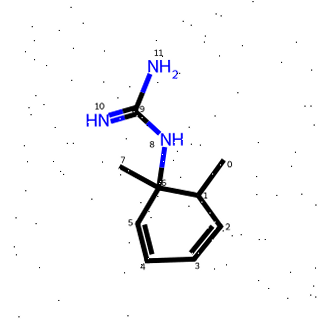 CC1C=CC=CC1(C)NC(=N)N